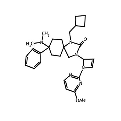 COc1ccnc(N2C=CC2N2CC3(CCC(c4ccccc4)(N(C)C)CC3)N(CC3CCC3)C2=O)n1